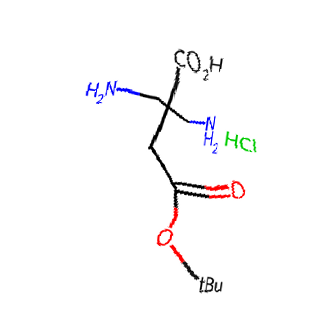 CC(C)(C)OC(=O)CC(N)(N)C(=O)O.Cl